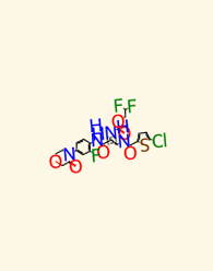 O=C(N[C@@H](CNC(=O)c1ccc(Cl)s1)C(=O)Nc1ccc(N2CCOCC2=O)cc1F)OCC(F)F